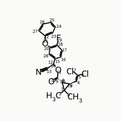 CC1(C)[C@H](C=C(Cl)Cl)[C@H]1C(=O)O[C@@H](C#N)c1ccc(F)c(Oc2ccccc2)c1